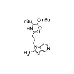 CCCCOC(=O)[C@H](CCCC)NC(=O)CCCn1c(C)nc2cnccc21